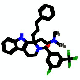 CN(C)CCC1(CCCc2ccccc2)c2[nH]c3ccccc3c2CCN1C(=O)c1cc(F)cc(C(F)(F)F)c1